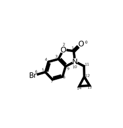 O=c1oc2cc(Br)ccc2n1CC1CC1